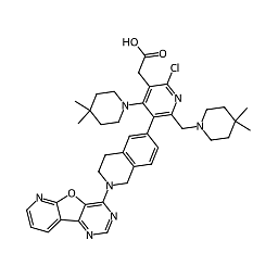 CC1(C)CCN(Cc2nc(Cl)c(CC(=O)O)c(N3CCC(C)(C)CC3)c2-c2ccc3c(c2)CCN(c2ncnc4c2oc2ncccc24)C3)CC1